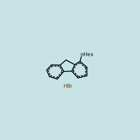 Br.CCCCCCc1cccc2c1Cc1ccccc1-2